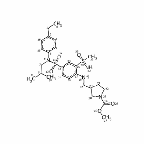 CCc1ccc(N(CC(C)C)S(=O)(=O)c2ccc(NCC3CCN(C(=O)OC)C3)c(S(C)(=N)=O)c2)cc1